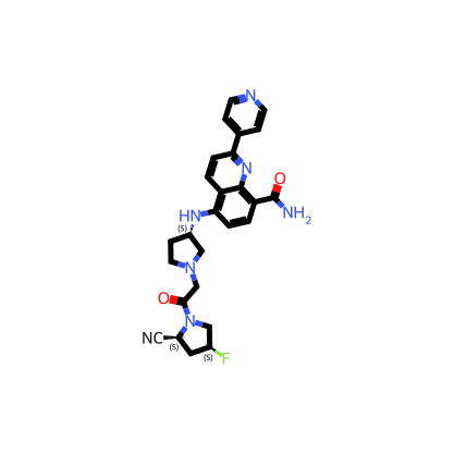 N#C[C@@H]1C[C@H](F)CN1C(=O)CN1CC[C@H](Nc2ccc(C(N)=O)c3nc(-c4ccncc4)ccc23)C1